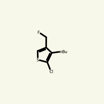 CCCCc1c(CF)csc1Cl